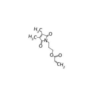 C=CC(=O)OCCCN1C(=O)C(C)=C(C)C1=O